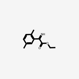 CCOC(=O)C(=N)c1cc(C)ccc1C